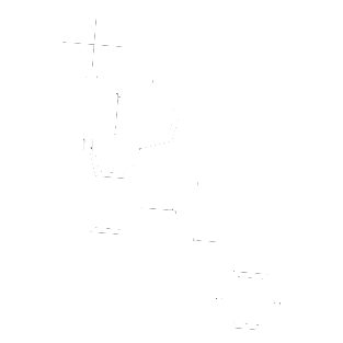 CC(C)(C)OC(=O)c1[nH]c2cccc(C(=O)OCc3ccccc3)c2c1C=O